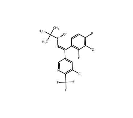 CC(C)(C)[S@@+]([O-])N=C(c1cnc(C(F)(F)F)c(Cl)c1)c1ccc(F)c(Cl)c1F